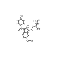 COc1ccc2c(c1)c(CCN(C(C)C)C(C)C)c(C)n2C(=O)c1ccc(F)cc1.Cl